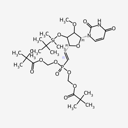 COC1C(O[Si](C)(C)C(C)(C)C)[C@@H](/C=C/P(=O)(OCOC(=O)C(C)(C)C)OCOC(=O)C(C)(C)C)O[C@H]1n1ccc(=O)[nH]c1=O